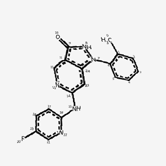 Cc1ccccc1-n1[nH]c(=O)c2cnc(Nc3ccc(F)cn3)cc21